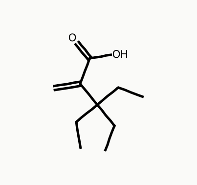 C=C(C(=O)O)C(CC)(CC)CC